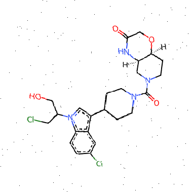 O=C1CO[C@H]2CCN(C(=O)N3CCC(c4cn(C(CO)CCl)c5ccc(Cl)cc45)CC3)C[C@H]2N1